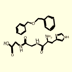 NC(Cc1c[nH]cn1)C(=O)NCC(=O)NCC(=O)O.c1ccc(COCc2ccccc2)cc1